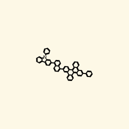 c1ccc(-c2ccc3c(c2)c2ccccc2c2c4ccc(-c5cccc6c(-c7ccc8c9ccccc9n(-c9ccccc9)c8c7)cccc56)cc4c4ccccc4c32)cc1